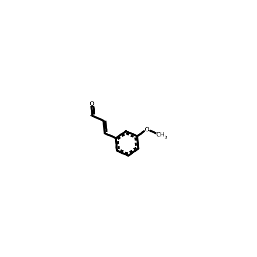 COc1cccc(C=C[C]=O)c1